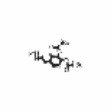 CCCCC(=O)Oc1ccc(CCNC(C)C)cc1OC(=O)CCCC